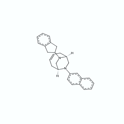 C1=C\C[C@H]2CN(c3ccc4ccccc4c3)[C@@H](C/1)CN2C1Cc2ccccc2C1